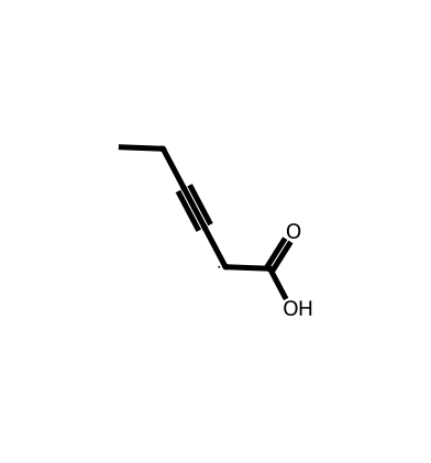 CCC#C[CH]C(=O)O